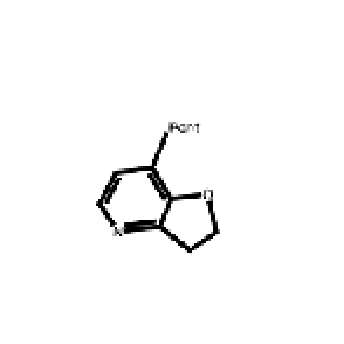 CCCC(C)c1ccnc2c1OCC2